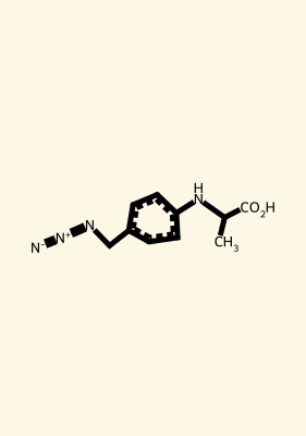 CC(Nc1ccc(CN=[N+]=[N-])cc1)C(=O)O